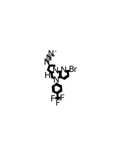 [N-]=[N+]=N[C@@H]1C[C@@H]2CN(c3ccc(C(F)(F)F)cc3)c3ccc(Br)nc3N2C1